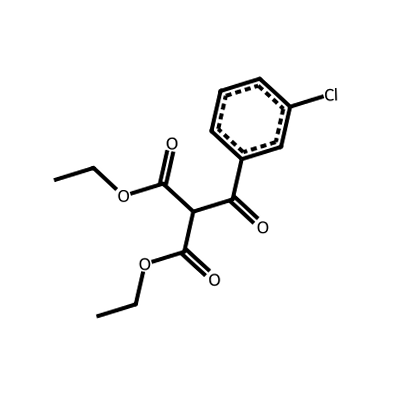 CCOC(=O)C(C(=O)OCC)C(=O)c1cccc(Cl)c1